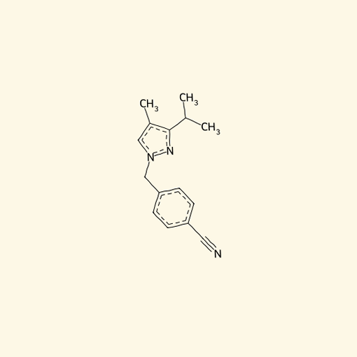 Cc1cn(Cc2ccc(C#N)cc2)nc1C(C)C